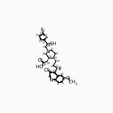 COc1ccc2ncc(Cl)c([C@@H](F)CC[C@@H]3CCN(CC(S)c4ccc(F)s4)C[C@@H]3CC(=O)O)c2c1